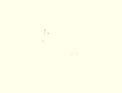 CC(C)[C@@H]1CCC[C@@H](CN)C1